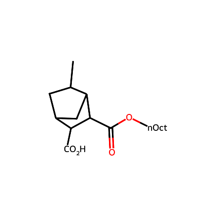 CCCCCCCCOC(=O)C1C2CC(CC2C)C1C(=O)O